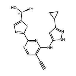 C#Cc1cnc(-c2ccc([C@@H](O)C(C)C)s2)nc1Nc1cc(C2CC2)n[nH]1